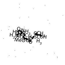 CO[C@H](CO[PH](=O)OCCSC(=O)C(C)(C)CO)[C@@H](O)[C@H](C)n1cnc2c(=O)[nH]c(N)nc21